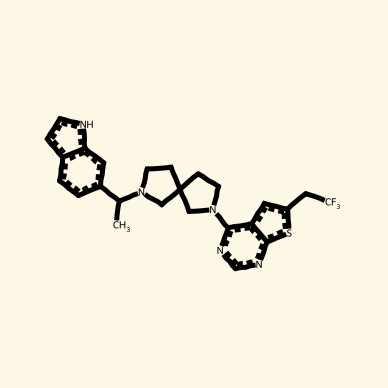 CC(c1ccc2cc[nH]c2c1)N1CCC2(CCN(c3ncnc4sc(CC(F)(F)F)cc34)C2)C1